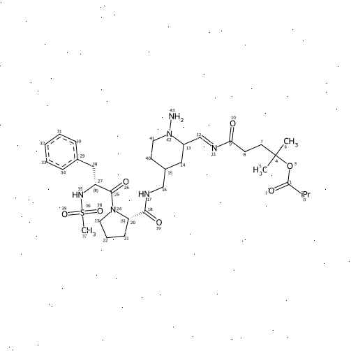 CC(C)C(=O)OC(C)(C)CCC(=O)N=CC1CC(CNC(=O)[C@@H]2CCCN2C(=O)[C@@H](Cc2ccccc2)NS(C)(=O)=O)CCN1N